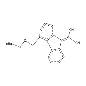 CCCCOOCc1cccc2c1-c1ccccc1C2=C(C#N)C#N